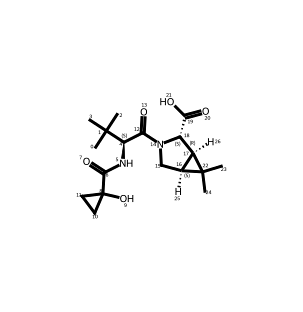 CC(C)(C)[C@H](NC(=O)C1(O)CC1)C(=O)N1C[C@H]2[C@@H]([C@H]1C(=O)O)C2(C)C